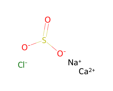 O=S([O-])[O-].[Ca+2].[Cl-].[Na+]